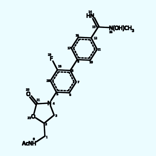 CC(=O)NCC1CN(c2ccc(-c3ccc(C(=N)N(C)O)cc3)c(F)c2)C(=O)O1